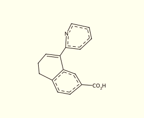 O=C(O)c1ccc2c(c1)C(c1ccccn1)=CCC2